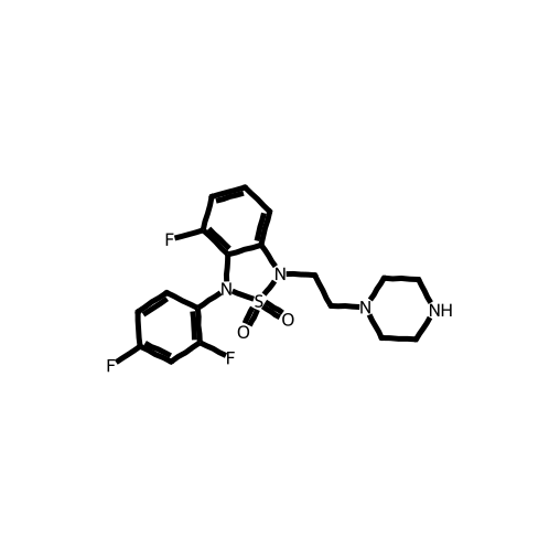 O=S1(=O)N(CCN2CCNCC2)c2cccc(F)c2N1c1ccc(F)cc1F